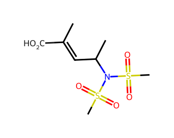 CC(=CC(C)N(S(C)(=O)=O)S(C)(=O)=O)C(=O)O